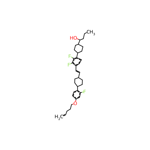 C=CCCCOc1ccc(C2CCC(/C=C/c3ccc(C4CCC(C(O)CCC)CC4)c(F)c3F)CC2)c(F)c1